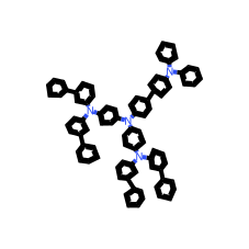 c1ccc(-c2cccc(N(c3ccc(N(c4ccc(-c5ccc(N(c6ccccc6)c6ccccc6)cc5)cc4)c4ccc(N(c5cccc(-c6ccccc6)c5)c5cccc(-c6ccccc6)c5)cc4)cc3)c3cccc(-c4ccccc4)c3)c2)cc1